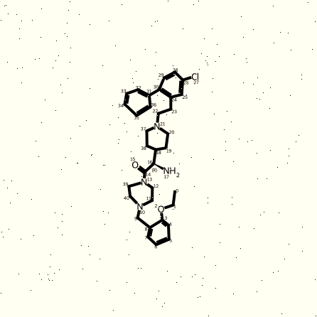 CCOc1ccccc1CN1CCN(C(=O)[C@H](N)C2CCN(CCc3cc(Cl)ccc3-c3ccccc3)CC2)CC1